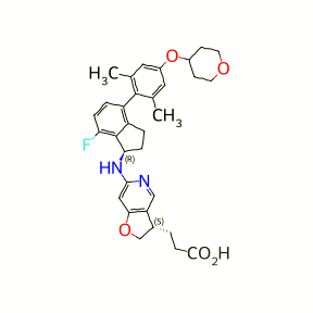 Cc1cc(OC2CCOCC2)cc(C)c1-c1ccc(F)c2c1CC[C@H]2Nc1cc2c(cn1)[C@H](CCC(=O)O)CO2